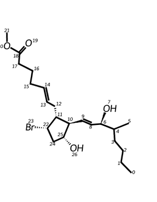 CCCCC(C)[C@H](O)C=C[C@@H]1[C@@H](CC=CCCCC(=O)OC)[C@@H](Br)C[C@H]1O